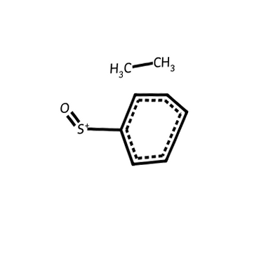 CC.O=[S+]c1ccccc1